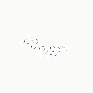 CC(C)(C)c1cc2ccc3cc4c(c5ccc(c1)c2c35)-c1ccc(-c2ccc3c5c(cccc25)-c2c(F)cc(F)cc2-3)cc1C4(C)C